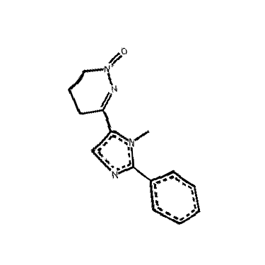 Cn1c(C2=N[N+](=O)CCC2)cnc1-c1ccccc1